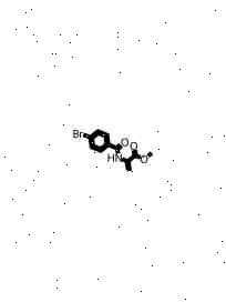 C=C(NC(=O)c1ccc(Br)cc1)C(=O)OC